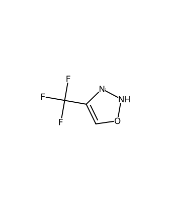 FC(F)(F)C1=CON[N]1